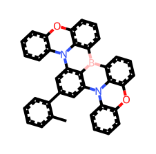 Cc1ccccc1-c1cc2c3c(c1)N1c4ccccc4Oc4cccc(c41)B3c1cccc3c1N2c1ccccc1O3